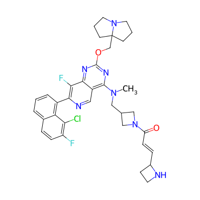 CN(CC1CN(C(=O)/C=C/C2CCN2)C1)c1nc(OCC23CCCN2CCC3)nc2c(F)c(-c3cccc4ccc(F)c(Cl)c34)ncc12